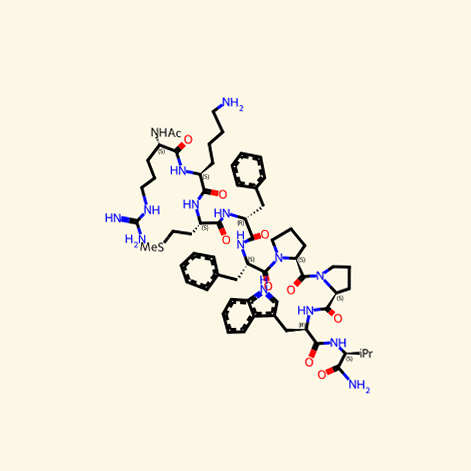 CSCC[C@H](NC(=O)[C@H](CCCCN)NC(=O)[C@H](CCCNC(=N)N)NC(C)=O)C(=O)N[C@H](Cc1ccccc1)C(=O)N[C@@H](Cc1ccccc1)C(=O)N1CCC[C@H]1C(=O)N1CCC[C@H]1C(=O)N[C@H](Cc1c[nH]c2ccccc12)C(=O)N[C@H](C(N)=O)C(C)C